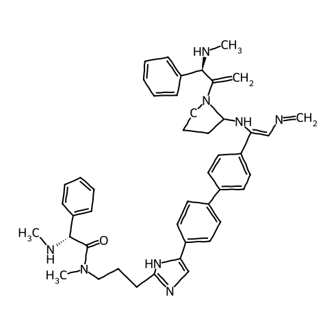 C=N/C=C(\NC1CCCN1C(=C)[C@H](NC)c1ccccc1)c1ccc(-c2ccc(-c3cnc(CCCN(C)C(=O)[C@H](NC)c4ccccc4)[nH]3)cc2)cc1